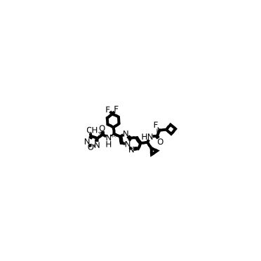 Cc1nonc1C(=O)N[C@H](c1cn2ncc(C(NC(=O)[C@H](F)C3CCC3)C3CC3)cc2n1)C1CCC(F)(F)CC1